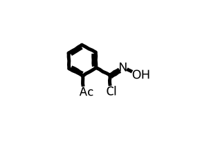 CC(=O)c1ccccc1C(Cl)=NO